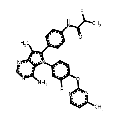 Cc1ccnc(Oc2ccc(-n3c(-c4ccc(NC(=O)C(C)F)cc4)c(C)c4ncnc(N)c43)cc2F)n1